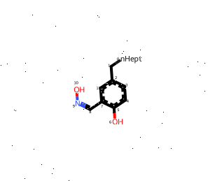 CCCCCCCCc1ccc(O)c(/C=N\O)c1